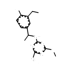 CCc1cc(C(C)Nc2nc(N)nc(SC)n2)ccc1Cl